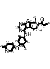 C=CC(=O)N1[C@H](C)Cc2c(sc3ncnc(Nc4ccc(Oc5ccc(C)nc5)c(C)c4)c23)[C@H]1C